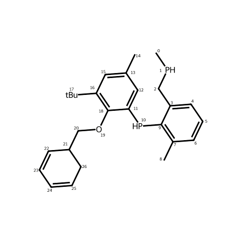 CPCc1cccc(C)c1Pc1cc(C)cc(C(C)(C)C)c1OCC1C=CC=CC1